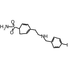 NS(=O)(=O)C1C=CC(CCNCc2ccc(I)cc2)=CC1